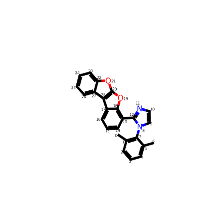 Cc1cccc(C)c1-n1ccnc1-c1cccc2c1oc1oc3ccccc3c12